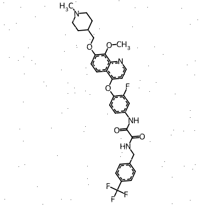 COc1c(OCC2CCN(C)CC2)ccc2c(Oc3ccc(NC(=O)C(=O)NCc4ccc(C(F)(F)F)cc4)cc3F)ccnc12